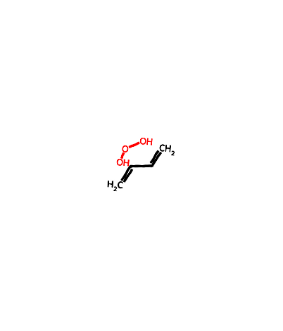 C=CC=C.OOO